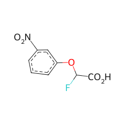 O=C(O)C(F)Oc1cccc([N+](=O)[O-])c1